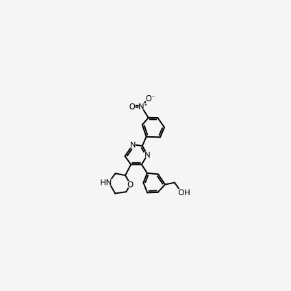 O=[N+]([O-])c1cccc(-c2ncc(C3CNCCO3)c(-c3cccc(CO)c3)n2)c1